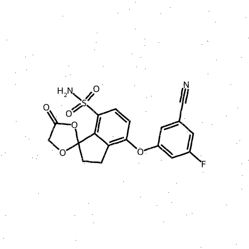 N#Cc1cc(F)cc(Oc2ccc(S(N)(=O)=O)c3c2CCC32OCC(=O)O2)c1